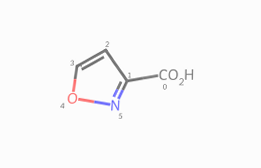 O=C(O)c1c[c]on1